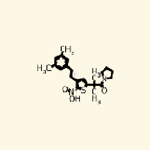 Cc1cc(C)cc(/C=C/c2cc(C(C)(C)C(=O)N3CCCC3)sc2[N+](=O)O)c1